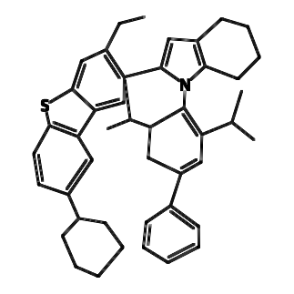 CCc1cc2sc3ccc(C4CCCCC4)cc3c2cc1-c1cc2c(n1C1=C(C(C)C)C=C(c3ccccc3)CC1C(C)C)CCCC2